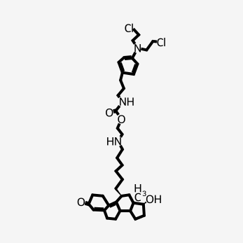 C[C@]12C[C@H](CCCCCCNCCOC(=O)NCCCc3ccc(N(CCCl)CCCl)cc3)C3=C4CCC(=O)C=C4CCC3C1CC[C@H]2O